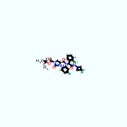 CC(C)(C)OC(=O)N1C[C@@H](C(=O)N(c2cccc(F)c2)C(C(=O)NC2CC(F)(F)C2)c2ccccc2Cl)NC1=O